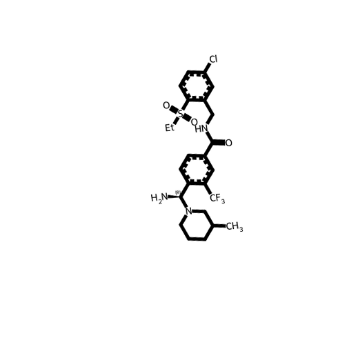 CCS(=O)(=O)c1ccc(Cl)cc1CNC(=O)c1ccc([C@H](N)N2CCCC(C)C2)c(C(F)(F)F)c1